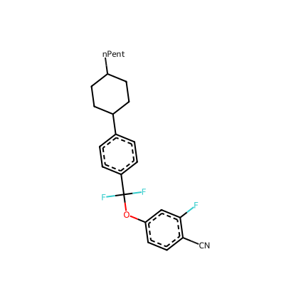 CCCCCC1CCC(c2ccc(C(F)(F)Oc3ccc(C#N)c(F)c3)cc2)CC1